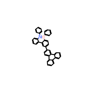 c1ccc(B2c3ccc(-c4ccc5c6ccccc6c6ccccc6c5c4)cc3-c3ccccc3N2c2ccccc2)cc1